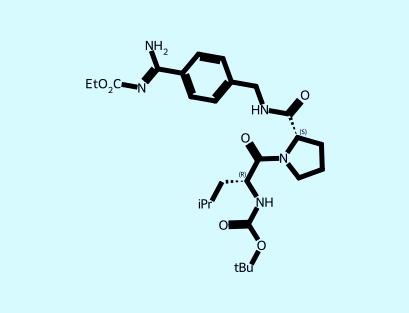 CCOC(=O)N=C(N)c1ccc(CNC(=O)[C@@H]2CCCN2C(=O)[C@@H](CC(C)C)NC(=O)OC(C)(C)C)cc1